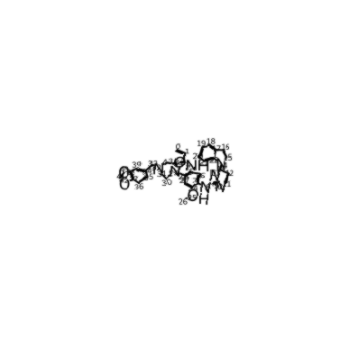 C=CC(=O)Nc1cc(Nc2nccc(-n3ccc4ccccc43)n2)c(OC)cc1N1CCN(Cc2ccc3c(c2)OCO3)CC1